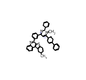 C=N/C(=C\C(=N/CC1C=CC=CC1)c1cccc(-c2nc3ccccc3c3c4c(sc23)C=CC(C)C4)c1)C1=CC=C(c2ccccc2)CC1